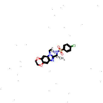 CCn1c([C@@H](C)NS(=O)(=O)c2ccc(Cl)cc2)nc2cc3c(cc21)OCCO3